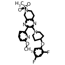 COc1cccc(-c2nc3c(nc2N2CCC(Oc4ccc(F)cc4F)CC2)CCN(S(C)(=O)=O)C3)n1